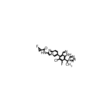 CC(c1c(F)c(Cl)c(-c2ccc3nc(NC(=O)C4CC4F)cn3c2)c2cn[nH]c12)n1cnnn1